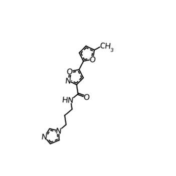 Cc1ccc(-c2cc(C(=O)NCCCn3ccnc3)no2)o1